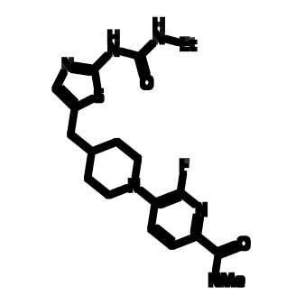 CCNC(=O)Nc1ncc(CC2CCN(c3ccc(C(=O)NC)nc3F)CC2)s1